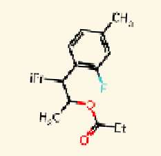 CCC(=O)OC(C)C(c1ccc(C)cc1F)C(C)C